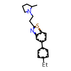 CCc1ccc(-c2ccc3sc(CCN4CCCC4C)nc3c2)cc1